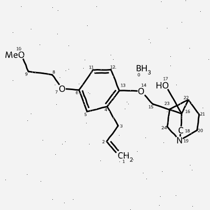 B.C=CCc1cc(OCCOC)ccc1OCC1(O)CN2CCC1CC2